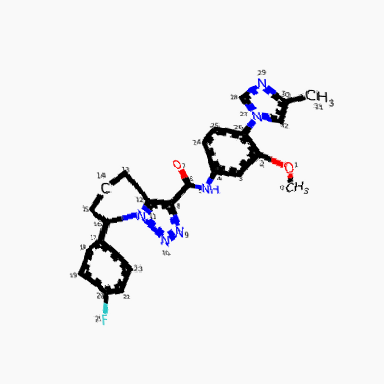 COc1cc(NC(=O)c2nnn3c2CCCC3c2ccc(F)cc2)ccc1-n1cnc(C)c1